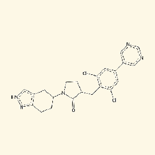 O=C1C(Cc2c(Cl)cc(-c3cncnc3)cc2Cl)CCN1C1CCc2n[nH]cc2C1